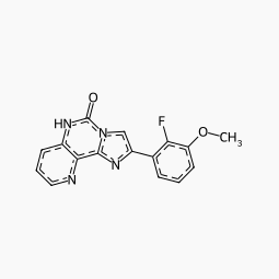 COc1cccc(-c2cn3c(=O)[nH]c4cccnc4c3n2)c1F